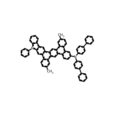 Cc1ccc2c(c1)c1cc3c(cc1c1ccc(N(c4ccc(-c5ccccc5)cc4)c4ccc(-c5ccccc5)cc4)cc21)c1cc(C)ccc1c1cc2c(cc31)c1ccccc1n2-c1ccccc1